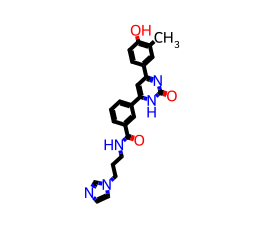 Cc1cc(-c2cc(-c3cccc(C(=O)NCCCn4ccnc4)c3)[nH]c(=O)n2)ccc1O